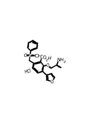 CC(N)COc1c(-c2ccoc2)ccc(CS(=O)(=O)c2ccccc2)c1C(=O)O.Cl